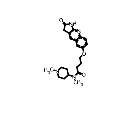 CN1CCC(N(C)C(=O)CCCOc2ccc3nc4c(cc3c2)CC(=O)N4)CC1